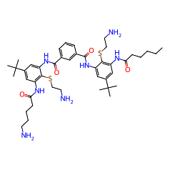 CCCCCC(=O)Nc1cc(C(C)(C)C)cc(NC(=O)c2cccc(C(=O)Nc3cc(C(C)(C)C)cc(NC(=O)CCCCN)c3SCCN)c2)c1SCCN